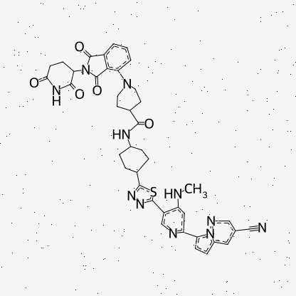 CNc1cc(-c2ccc3cc(C#N)cnn23)ncc1-c1nnc(C2CCC(NC(=O)C3CCN(c4cccc5c4C(=O)N(C4CCC(=O)NC4=O)C5=O)CC3)CC2)s1